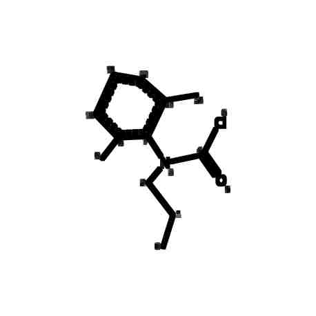 CCCN(C(=O)Cl)c1c(C)cccc1C